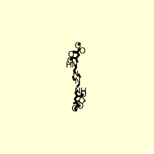 C=C(CC(CNCCN1CCN(CCNCC(CC(C)(C)C(=O)OC)C(=O)OC)CC1)C(=O)OC)C(=O)OC